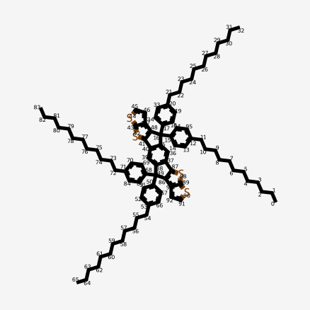 CCCCCCCCCCCCc1ccc(C2(c3ccc(CCCCCCCCCCCC)cc3)c3cc4c(cc3-c3sc5sccc5c32)C(c2ccc(CCCCCCCCCCCC)cc2)(c2ccc(CCCCCCCCCCCC)cc2)c2c-4sc3sccc23)cc1